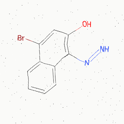 N=Nc1c(O)cc(Br)c2ccccc12